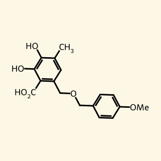 COc1ccc(COCc2cc(C)c(O)c(O)c2C(=O)O)cc1